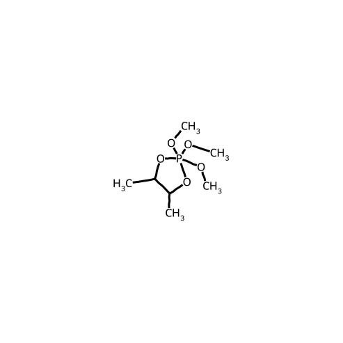 COP1(OC)(OC)OC(C)C(C)O1